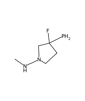 CNN1CCC(F)(P)C1